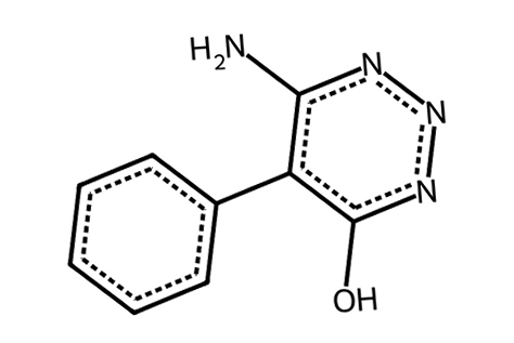 Nc1nnnc(O)c1-c1ccccc1